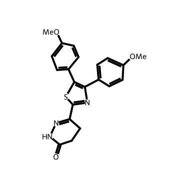 COc1ccc(-c2nc(C3=NNC(=O)CC3)sc2-c2ccc(OC)cc2)cc1